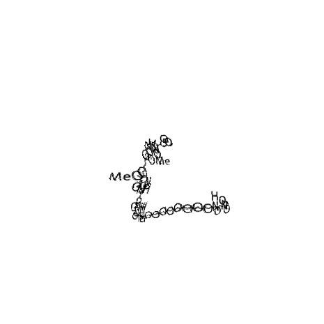 COc1cc2c(cc1OCCCCCOc1cc3c(cc1OC)C(=O)N1C=C(c4ccc5c(c4)OCO5)C[C@H]1C=N3)N=C[C@@H]1CC(c3ccc(NC(=O)[C@H](C)NC(=O)C(NC(=O)CCOCCOCCOCCOCCOCCOCCOCCOCCNC(=O)CCN4C(=O)C=CC4=O)C(C)C)cc3)=CN1C2=O